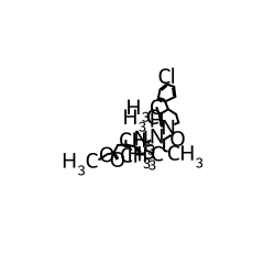 CCOC(=O)CC(C)(C)c1csc(N[C@@H](C(=O)N2CCC(c3ccc(Cl)cc3)C(C)(C)C2)C(C)C)n1